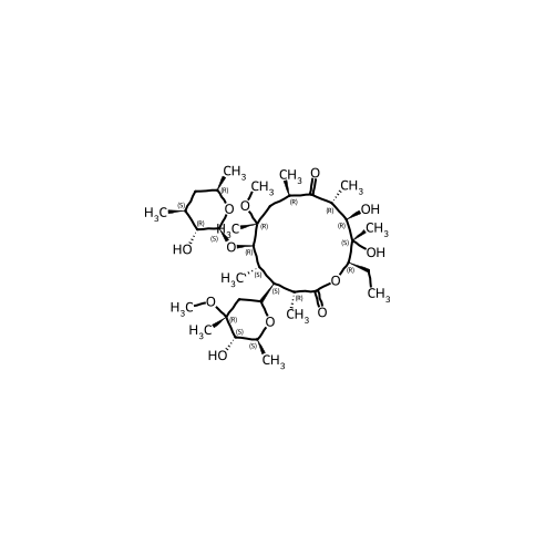 CC[C@H]1OC(=O)[C@H](C)[C@@H](C2C[C@@](C)(OC)[C@@H](O)[C@H](C)O2)[C@H](C)[C@@H](O[C@@H]2O[C@H](C)C[C@H](C)[C@H]2O)[C@](C)(OC)C[C@@H](C)C(=O)[C@H](C)[C@@H](O)[C@]1(C)O